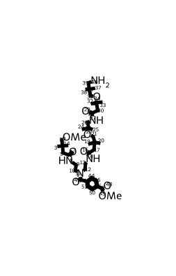 COCC(C)(C)CC(=O)NCCN(CCNC(=O)CC(C)(C)COC(C)(C)CNC(=O)CC(C)(C)OCC(C)(C)CN)C(=O)c1ccc(C(=O)OC)cc1